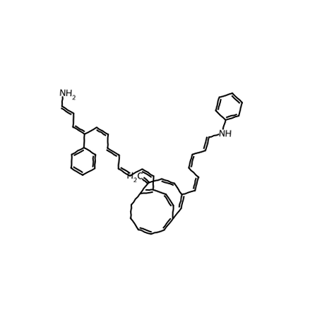 C=c1ccc(\C=C/C=C\C=C\Nc2ccccc2)c/c2ccc(\C=C/C=C\C=C\C=C/C(=C\C=C\N)c3ccccc3)c1CC/C=C\C=2